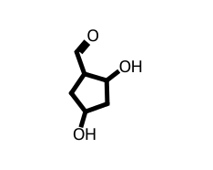 O=CC1CC(O)CC1O